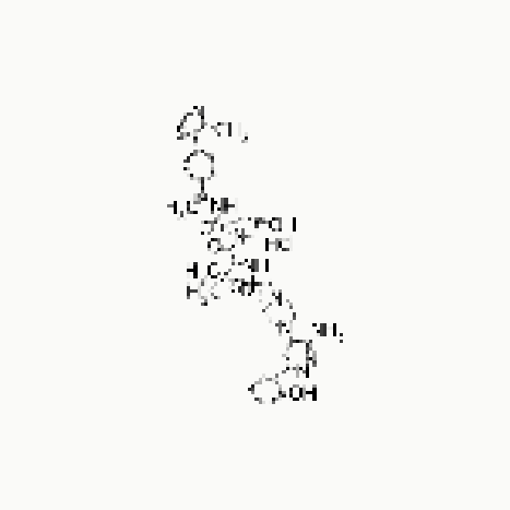 Cc1ncsc1-c1ccc([C@H](C)NC(=O)[C@@H]2C[C@@H](O)CN2C(=O)C(NC(=O)CN2CCN(c3cc(-c4ccccc4O)nnc3N)CC2)C(C)(C)C)cc1.Cl